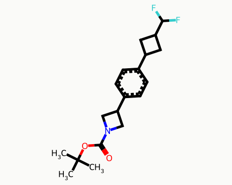 CC(C)(C)OC(=O)N1CC(c2ccc(C3CC(C(F)F)C3)cc2)C1